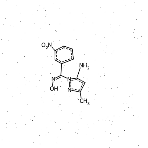 Cc1cc(N)n(C(=NO)c2cccc([N+](=O)[O-])c2)n1